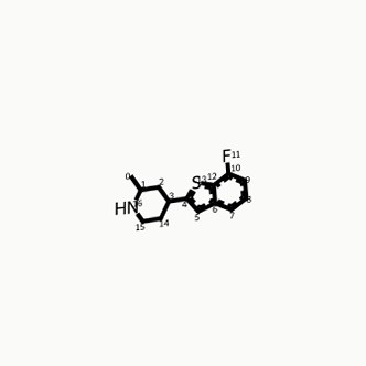 CC1CC(c2cc3cccc(F)c3s2)CCN1